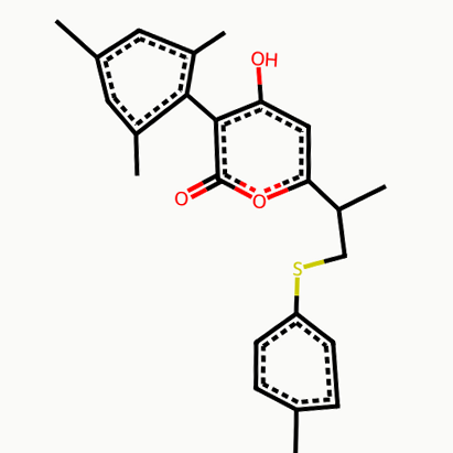 Cc1ccc(SCC(C)c2cc(O)c(-c3c(C)cc(C)cc3C)c(=O)o2)cc1